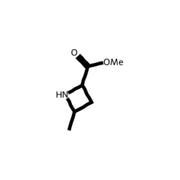 COC(=O)C1CC(C)N1